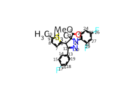 COC(=O)C1(C)C(c2ccc(C)s2)C(c2ccc(F)cc2)=NN1c1ccc(F)cc1F